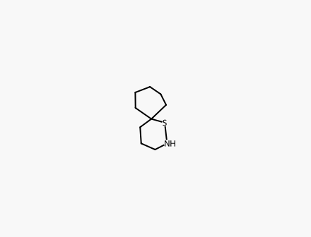 C1CCC2(CC1)CCCNS2